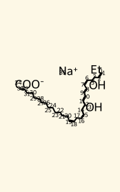 CC/C=C\C[C@H](O)\C=C/C=C/C=C/[C@H](O)C/C=C\C/C=C\CCCCCCCCCCCCCCC(=O)[O-].[Na+]